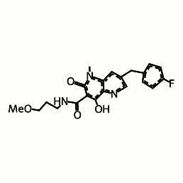 COCCCNC(=O)c1c(O)c2ncc(Cc3ccc(F)cc3)cc2n(C)c1=O